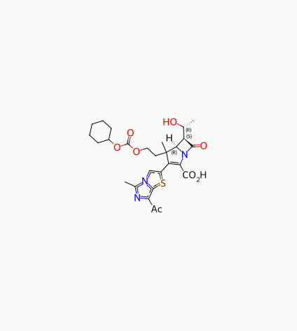 CC(=O)c1nc(C)n2cc(C3=C(C(=O)O)N4C(=O)[C@H]([C@@H](C)O)[C@@H]4C3(C)CCOC(=O)OC3CCCCC3)sc12